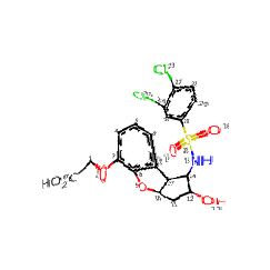 O=C(O)COc1cccc2c1OC1CC(O)C(NS(=O)(=O)c3ccc(Cl)c(Cl)c3)C21